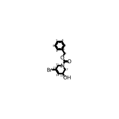 O=C(OCc1ccccc1)N1CC(Br)=CC(O)C1